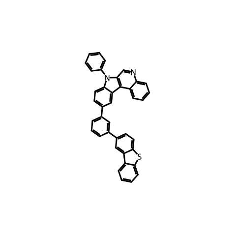 c1ccc(-n2c3ccc(-c4cccc(-c5ccc6sc7ccccc7c6c5)c4)cc3c3c4ccccc4ncc32)cc1